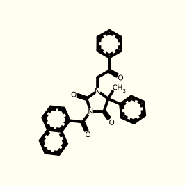 CC1(c2ccccc2)C(=O)N(C(=O)c2cccc3ccccc23)C(=O)N1CC(=O)c1ccccc1